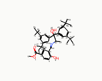 COC(=O)c1ccc(O)c(C=NC(C)C(O)(c2cc(C(C)(C)C)cc(C(C)(C)C)c2)c2cc(C(C)(C)C)cc(C(C)(C)C)c2)c1